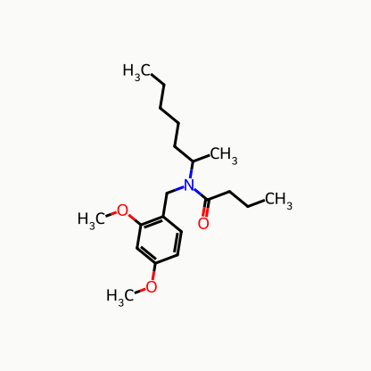 CCCCCC(C)N(Cc1ccc(OC)cc1OC)C(=O)CCC